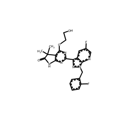 CC1(C)C(=O)Nc2nc(-c3nn(Cc4ccccc4F)c4ncc(F)cc34)nc(OCCO)c21